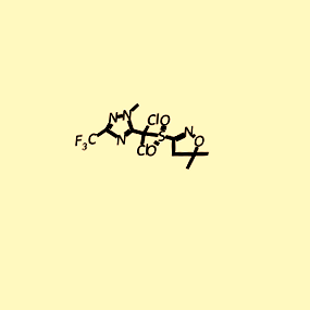 Cn1nc(C(F)(F)F)nc1C(Cl)(Cl)S(=O)(=O)C1=NOC(C)(C)C1